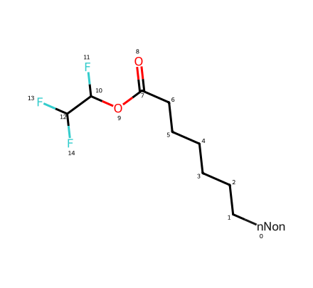 CCCCCCCCCCCCCCCC(=O)OC(F)C(F)F